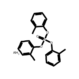 Cc1ccccc1OP(=O)(Oc1ccccc1C)Oc1ccccc1C.[AlH3]